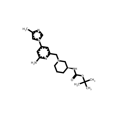 Cc1cn(-c2cc(N)nc(CN3CCC[C@H](NC(=O)OC(C)(C)C)C3)c2)cn1